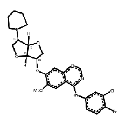 COc1cc2c(Nc3ccc(Br)c(Cl)c3)ncnc2cc1O[C@@H]1CO[C@@H]2[C@H]1OC[C@H]2N1CCCCC1